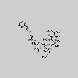 COc1cccc2c1C(=O)c1c(O)c3c(c(O)c1C2=O)C[C@@](O)(C(=O)CO)C[C@@H]3OC1CC(NCC(=O)OCCSSc2ccccn2)C(O)C(C)O1